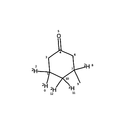 [2H]C1([2H])CC(=O)CC([2H])(C)C1([2H])[2H]